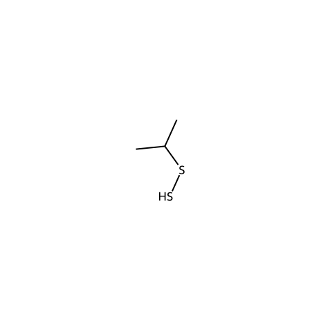 CC(C)SS